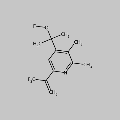 C=C(c1cc(C(C)(C)OF)c(C)c(C)n1)C(F)(F)F